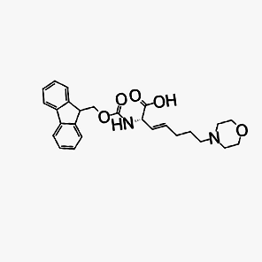 O=C(N[C@@H](C=CCCCN1CCOCC1)C(=O)O)OCC1c2ccccc2-c2ccccc21